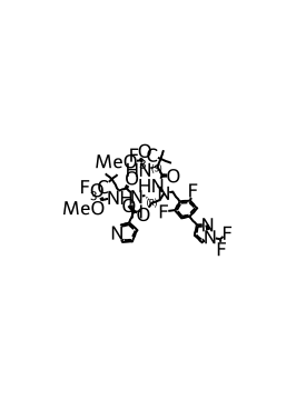 COC(=O)NC(C(=O)NC[C@H](CN(Cc1c(F)cc(-c2ccn(C(F)F)n2)cc1F)NC(=O)[C@@H](NC(=O)OC)C(C)(C)C(F)(F)F)OC(=O)c1cccnc1)C(C)(C)C(F)(F)F